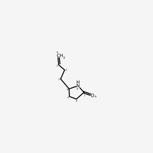 C=CCCC1CCC(=O)N1